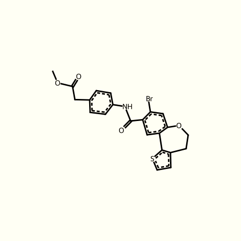 COC(=O)Cc1ccc(NC(=O)c2cc3c(cc2Br)OCCc2ccsc2-3)cc1